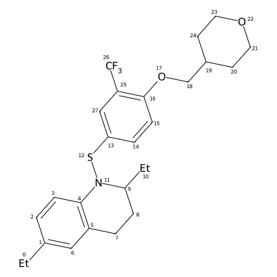 CCc1ccc2c(c1)CCC(CC)N2Sc1ccc(OCC2CCOCC2)c(C(F)(F)F)c1